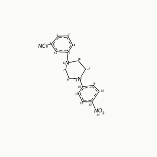 N#Cc1cccc(N2CCN(c3ccc([N+](=O)[O-])cc3)CC2)c1